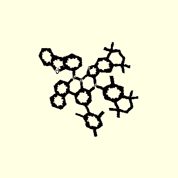 Cc1cc(C)c(-c2cc3c4c(c2)N(c2cc5c(cc2C)C(C)(C)CCC5(C)C)c2c(sc5cc6c(cc25)C(C)(C)CCC6(C)C)B4N(c2cccc4c2oc2ccccc24)c2ccc4ccccc4c2-3)c(C)c1